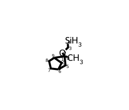 CC1(OC[SiH3])CC2CCC1C2